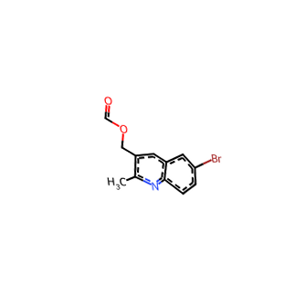 Cc1nc2ccc(Br)cc2cc1COC=O